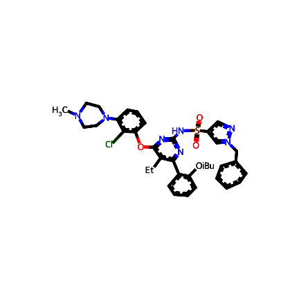 CCc1c(Oc2cccc(N3CCN(C)CC3)c2Cl)nc(NS(=O)(=O)c2cnn(Cc3ccccc3)c2)nc1-c1ccccc1OCC(C)C